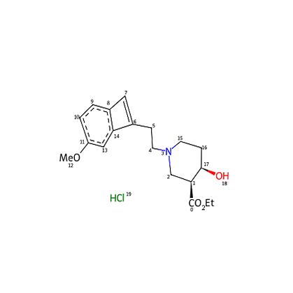 CCOC(=O)[C@H]1CN(CCC2=Cc3ccc(OC)cc32)CC[C@H]1O.Cl